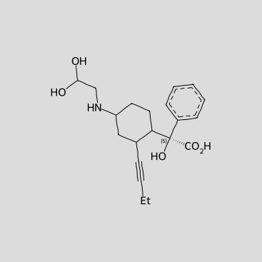 CCC#CC1CC(NCC(O)O)CCC1[C@@](O)(C(=O)O)c1ccccc1